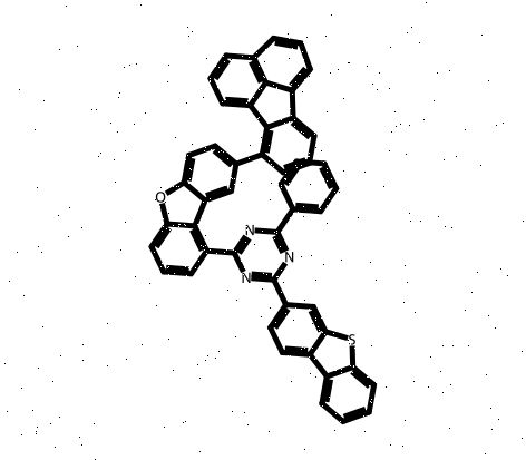 c1ccc(-c2nc(-c3ccc4c(c3)sc3ccccc34)nc(-c3cccc4oc5ccc(-c6cccc7c6-c6cccc8cccc-7c68)cc5c34)n2)cc1